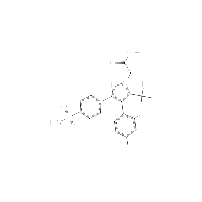 NS(=O)(=O)c1ccc(-c2nn(CC(=O)O)c(C(F)(F)F)c2-c2ccc(Cl)cc2Cl)cc1